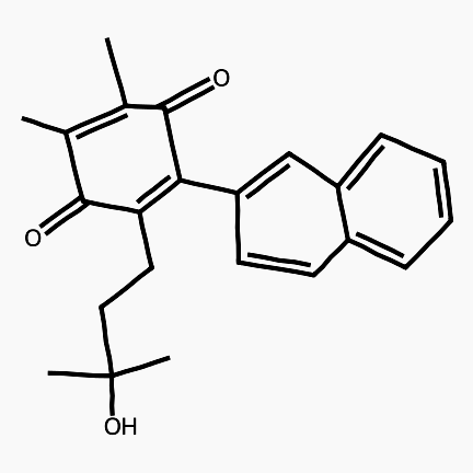 CC1=C(C)C(=O)C(c2ccc3ccccc3c2)=C(CCC(C)(C)O)C1=O